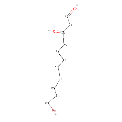 O=[C]CC(=O)CCCCCCCCBr